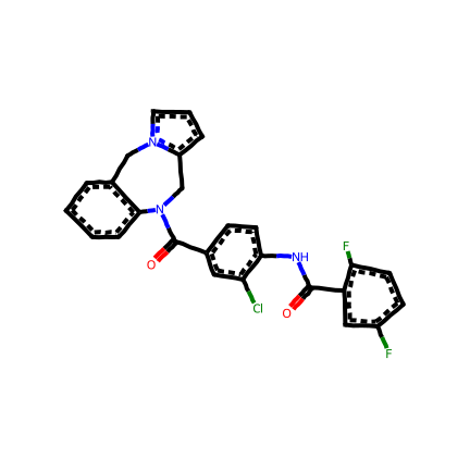 O=C(Nc1ccc(C(=O)N2Cc3cccn3Cc3ccccc32)cc1Cl)c1cc(F)ccc1F